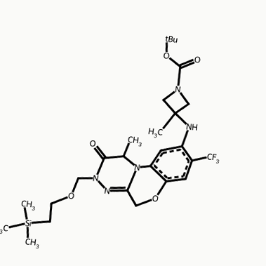 CC1C(=O)N(COCC[Si](C)(C)C)N=C2COc3cc(C(F)(F)F)c(NC4(C)CN(C(=O)OC(C)(C)C)C4)cc3N21